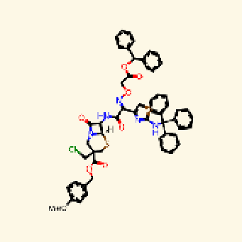 COc1ccc(COC(=O)C2(CCl)CS[C@@H]3C(NC(=O)C(=NOCC(=O)OC(c4ccccc4)c4ccccc4)c4csc(NC(c5ccccc5)(c5ccccc5)c5ccccc5)n4)C(=O)N3C2)cc1